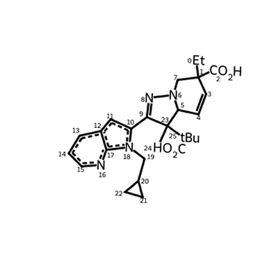 CCC1(C(=O)O)C=CC2N(C1)N=C(c1cc3cccnc3n1CC1CC1)C2(C(=O)O)C(C)(C)C